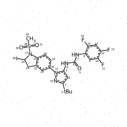 CC(C)(C)c1cc(NC(=O)Nc2cc(F)c(F)cc2F)n(-c2ccc3c(c2)CC(I)N3S(C)(=O)=O)n1